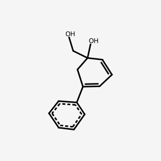 OCC1(O)C=CC=C(c2ccccc2)C1